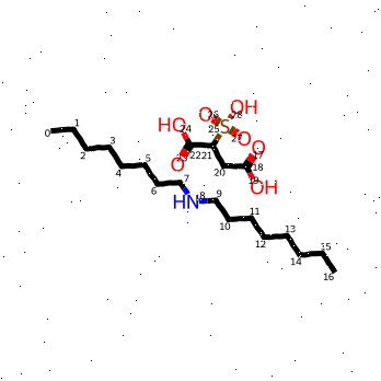 CCCCCCCCNCCCCCCCC.O=C(O)CC(C(=O)O)S(=O)(=O)O